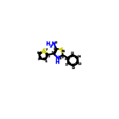 NC1=C(c2cccs2)NC(c2ccccc2)S1